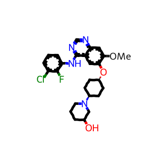 COc1cc2ncnc(Nc3cccc(Cl)c3F)c2cc1O[C@H]1CC[C@H](N2CCCC(O)C2)CC1